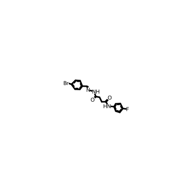 O=C(CCC(=O)Nc1ccc(F)cc1)N/N=C/c1ccc(Br)cc1